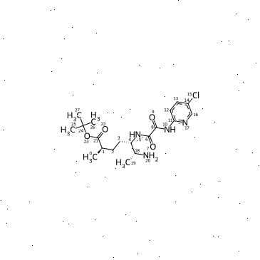 C[C@H](CC[C@H](NC(=O)C(=O)Nc1ccc(Cl)cn1)[C@@H](C)N)C(=O)OC(C)(C)C